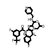 CC(=O)Cn1c(C(=O)NCc2ccncc2)nc(NC(=O)c2cc(F)cc(C(F)(F)F)c2)c1[C@@H](C)c1cc(F)ccc1Cl